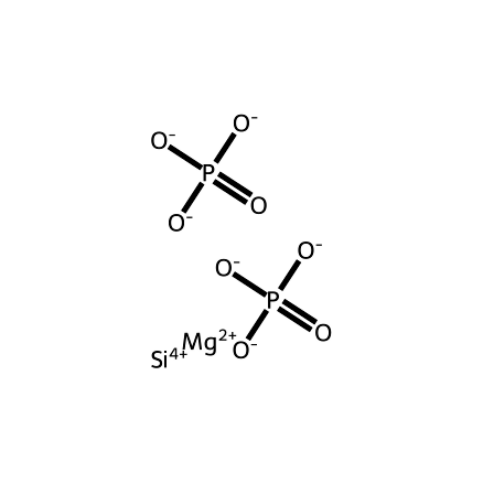 O=P([O-])([O-])[O-].O=P([O-])([O-])[O-].[Mg+2].[Si+4]